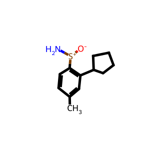 Cc1ccc([S+](N)[O-])c(C2CCCC2)c1